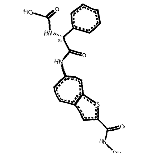 O=C(O)N[C@@H](C(=O)Nc1ccc2cc(C(=O)NO)sc2c1)c1ccccc1